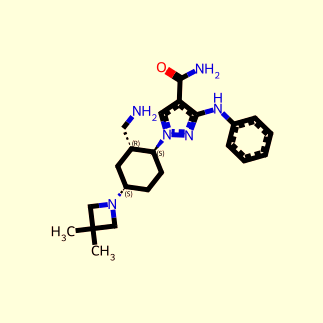 CC1(C)CN([C@H]2CC[C@H](n3cc(C(N)=O)c(Nc4ccccc4)n3)[C@@H](CN)C2)C1